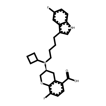 O=C(O)c1ccc(F)c2c1C[C@H](N(CCCCc1c[nH]c3ccc(F)cc13)C1CCC1)CO2